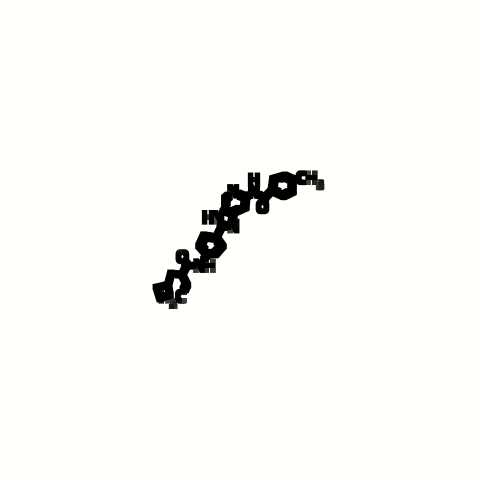 C=CC(CC1CCC1)C(=O)Nc1ccc(-c2nc3cc(NC(=O)c4ccc(C)cc4)ncc3[nH]2)cc1